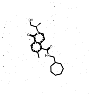 Cc1ccc2c(=O)n([C@H](C)CO)ccc2c1C(=O)NCC1CCCCCC1